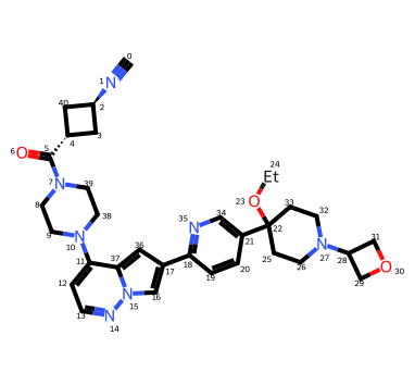 C#[N+][C@H]1C[C@H](C(=O)N2CCN(c3ccnn4cc(-c5ccc(C6(OCC)CCN(C7COC7)CC6)cn5)cc34)CC2)C1